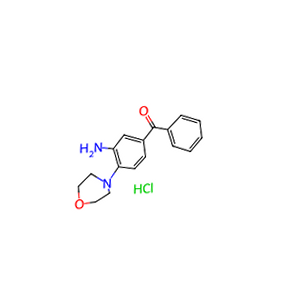 Cl.Nc1cc(C(=O)c2ccccc2)ccc1N1CCOCC1